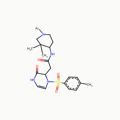 CC(=O)N1CCC(NC(=O)CC2C(=O)NC=CN2S(=O)(=O)c2ccc(C)cc2)C(C)(C)C1